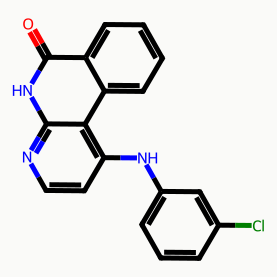 O=c1[nH]c2nccc(Nc3cccc(Cl)c3)c2c2ccccc12